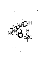 Cc1nc2nc(N3CCNCC3)n(Cc3ccccc3)c2c(=O)n1C#N.O=C(O)C(F)(F)F